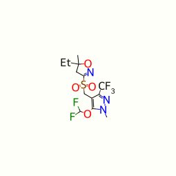 CCC1(C)CC(S(=O)(=O)Cc2c(C(F)(F)F)nn(C)c2OC(F)F)=NO1